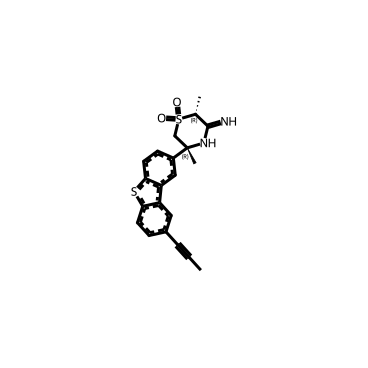 CC#Cc1ccc2sc3ccc([C@]4(C)CS(=O)(=O)[C@H](C)C(=N)N4)cc3c2c1